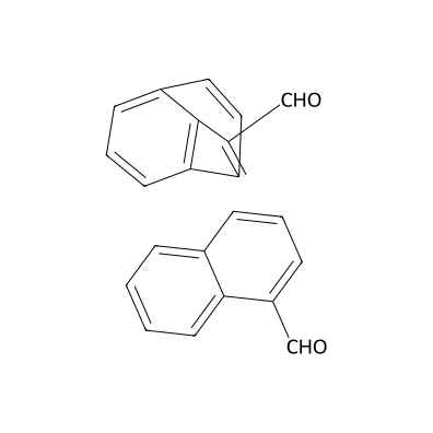 O=Cc1c2ccc3cccc-2c13.O=Cc1cccc2ccccc12